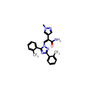 Cn1cc(C(=Cn2nc(-c3ccccc3C(F)(F)F)nc2-c2ccccc2C(F)(F)F)C(N)=O)cn1